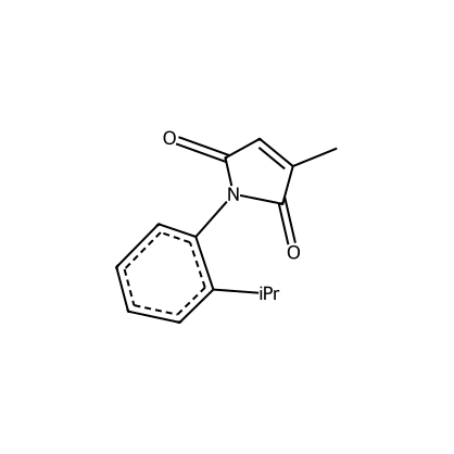 CC1=CC(=O)N(c2ccccc2C(C)C)C1=O